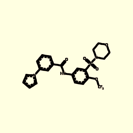 O=C(Nc1ccc(OC(F)(F)F)c(S(=O)(=O)N2CCOCC2)c1)c1cccc(-n2cccc2)c1